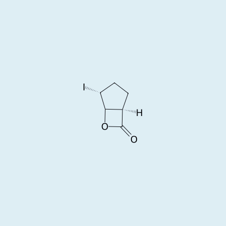 O=C1OC2[C@H](I)CC[C@@H]12